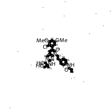 C=CC(=O)Nc1ccc(CCn2c(=O)c(-c3cc(OC)cc(OC)c3Cl)cc3cnc(NC(C)(CO)CO)nc32)cc1